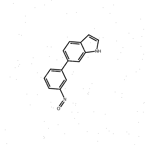 O=Nc1cccc(-c2ccc3cc[nH]c3c2)c1